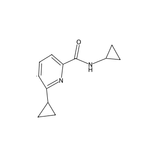 O=C(NC1CC1)c1cc[c]c(C2CC2)n1